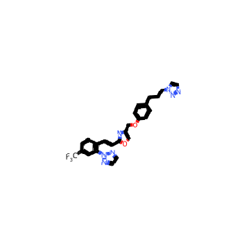 FC(F)(F)c1ccc(C=Cc2nc(COc3ccc(CCCn4ccnn4)cc3)co2)c(-n2nccn2)c1